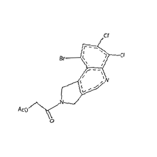 CC(=O)OCC(=O)N1Cc2cnc3c(Cl)c(Cl)cc(Br)c3c2C1